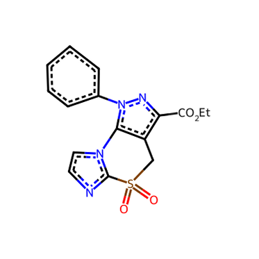 CCOC(=O)c1nn(-c2ccccc2)c2c1CS(=O)(=O)c1nccn1-2